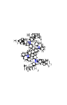 CC(C)(C)c1ccc(N(c2ccc(-c3c4ccc(N5c6ccccc6CCc6ccccc65)cc4c(-c4ccc(N(c5ccc(C(C)(C)C)cc5)c5ccc(C(C)(C)C)cc5)cc4)c4ccc(N5c6ccccc6CCc6ccccc65)cc34)cc2)c2ccc(C(C)(C)C)cc2)cc1